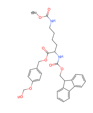 CC(C)(C)OC(=O)NCCCCC(NC(=O)OCC1c2ccccc2-c2ccccc21)C(=O)OCc1ccc(OCO)cc1